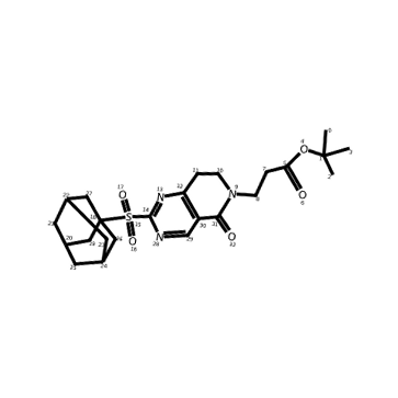 CC(C)(C)OC(=O)CCN1CCc2nc(S(=O)(=O)C34CC5CC(CC(C5)C3)C4)ncc2C1=O